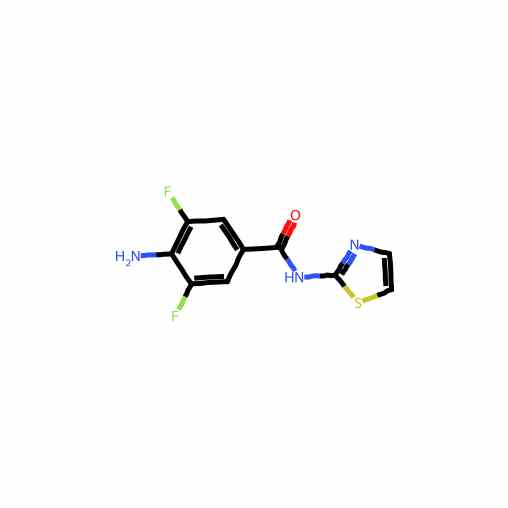 Nc1c(F)cc(C(=O)Nc2nccs2)cc1F